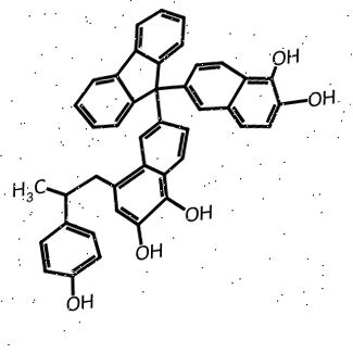 CC(Cc1cc(O)c(O)c2ccc(C3(c4ccc5c(O)c(O)ccc5c4)c4ccccc4-c4ccccc43)cc12)c1ccc(O)cc1